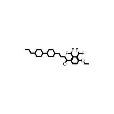 CCCC1CCC(C2CCC(CCCC(=O)c3ccc(OCC)c(C(F)F)c3C(F)F)CC2)CC1